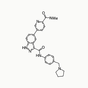 CNC(=O)c1ccc(-c2ccc3[nH]nc(C(=O)Nc4ccc(CN5CCCC5)cc4)c3c2)cn1